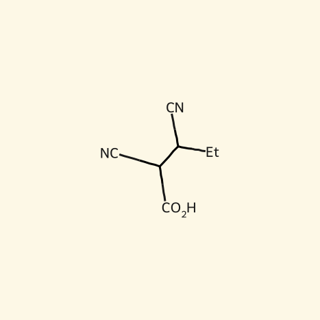 CCC(C#N)C(C#N)C(=O)O